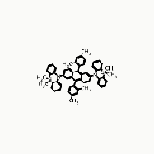 Cc1ccc(-c2c3ccc(N4c5ccccc5[Si](C)(C)c5ccccc54)cc3c(-c3ccc(C)cc3C)c3ccc(N4c5ccccc5[Si](C)(C)c5ccccc54)cc23)c(C)c1